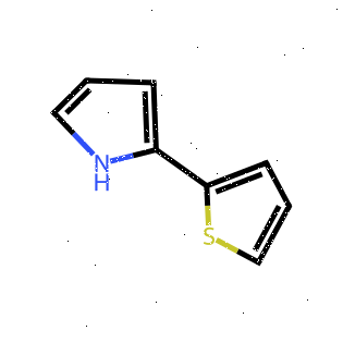 c1c[nH]c(-c2cccs2)c1